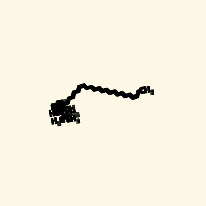 CC/C=C\CCCCCCCCCCCC/C=C\CCCCCCC(O)(C[N+](C)(C)C)P(=O)(O)O